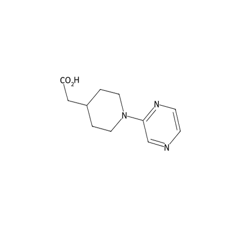 O=C(O)CC1CCN(c2cnccn2)CC1